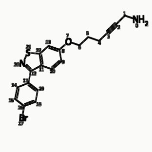 NCC#CCCCOc1ccc2c(-c3ccc(Br)cc3)nsc2c1